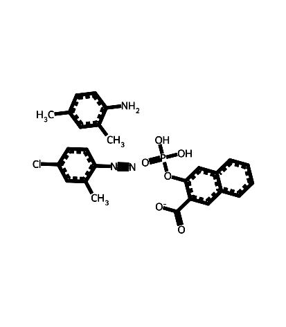 Cc1cc(Cl)ccc1[N+]#N.Cc1ccc(N)c(C)c1.O=C([O-])c1cc2ccccc2cc1OP(=O)(O)O